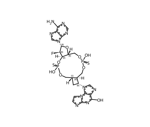 Nc1ncnc2c1ncn2[C@@H]1O[C@@H]2COP(O)(=S)OC[C@@H]3[C@@H](COP(O)(=S)O[C@H]2[C@H]1F)C[C@H]3n1cnc2c(O)nc3nccn3c21